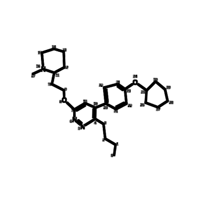 CCCCc1nnc(OCCC2CCCCN2C)cc1-c1ccc(OC2CCCCC2)cc1